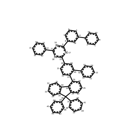 c1ccc(-c2cccc(-c3nc(-c4ccccc4)nc(-c4ccc(-c5cccc6c5-c5ccccc5C6(c5ccccc5)c5ccccc5)c(-c5ccccc5)c4)n3)c2)cc1